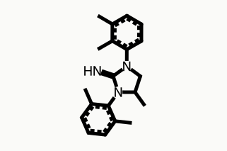 Cc1cccc(N2CC(C)N(c3c(C)cccc3C)C2=N)c1C